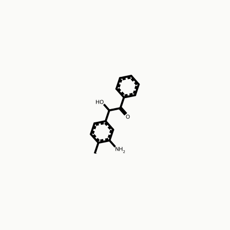 [CH2]c1ccc(C(O)C(=O)c2ccccc2)cc1N